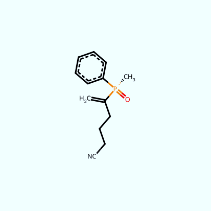 C=C(CCCC#N)[P@](C)(=O)c1ccccc1